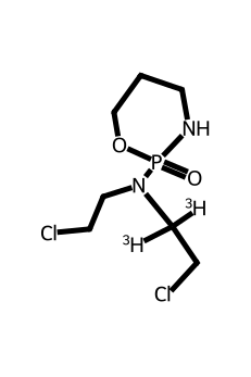 [3H]C([3H])(CCl)N(CCCl)P1(=O)NCCCO1